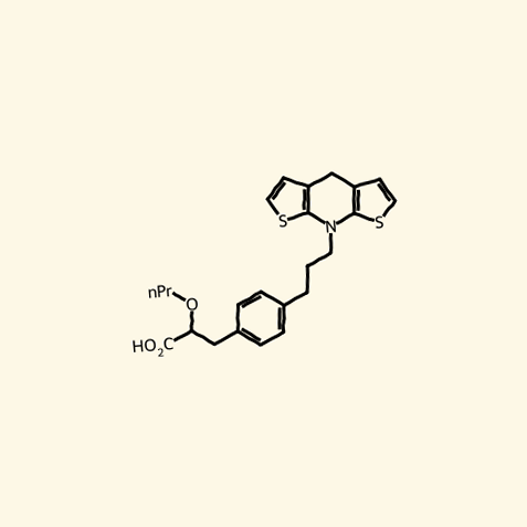 CCCOC(Cc1ccc(CCCN2c3sccc3Cc3ccsc32)cc1)C(=O)O